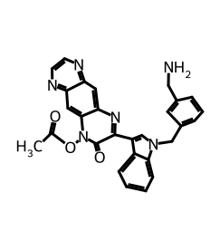 CC(=O)On1c(=O)c(-c2cn(Cc3cccc(CN)c3)c3ccccc23)nc2cc3nccnc3cc21